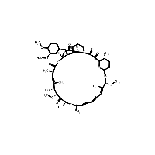 COC1CC[C@@H](CC2[C@@H]3CC(=O)[C@H](C)/C=C(\C)[C@@H](O)[C@@H](OC)C(=O)[C@H](C)C[C@H](C)/C=C/C=C/C=C(\C)[C@@H](OC)C[C@@H]4CC[C@@H](C)[C@@](O)(O4)C(=O)C(=O)N4CCC[C@H]2[C@H]4C(=O)O3)C[C@H]1OC